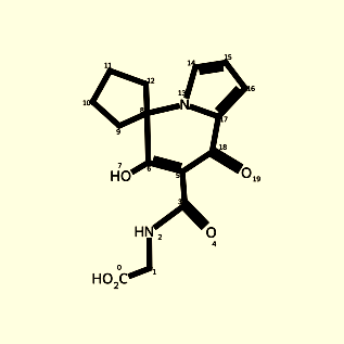 O=C(O)CNC(=O)C1=C(O)C2(CCCC2)n2cccc2C1=O